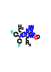 CC[C@H]1CN(C(c2ccc(F)cc2)c2ccc(F)cc2)[C@H](CC)CN1c1nc2nncn2c2c1nnn2C[C@@H]1CCCO1